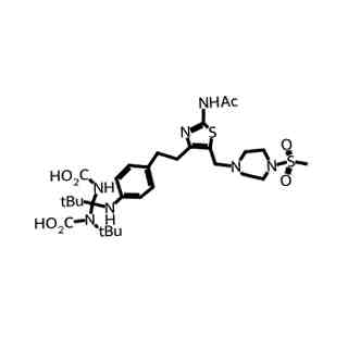 CC(=O)Nc1nc(CCc2ccc(NC(NC(=O)O)(N(C(=O)O)C(C)(C)C)C(C)(C)C)cc2)c(CN2CCN(S(C)(=O)=O)CC2)s1